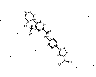 CN(C)C1CCN(c2ccc(NC(=O)c3ccc(N4CCOCC4)c([NH+]([O-])O)c3)cc2)C1